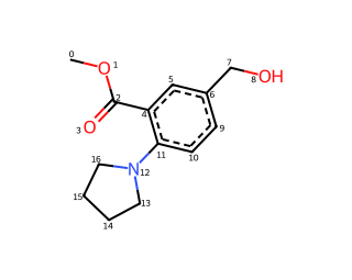 COC(=O)c1cc(CO)ccc1N1CCCC1